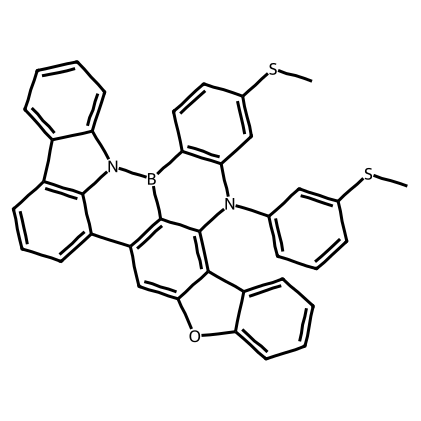 CSc1cccc(N2c3cc(SC)ccc3B3c4c(cc5oc6ccccc6c5c42)-c2cccc4c5ccccc5n3c24)c1